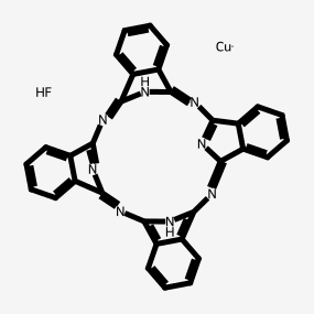 F.[Cu].c1ccc2c(c1)-c1nc-2nc2[nH]c(nc3nc(nc4[nH]c(n1)c1ccccc41)-c1ccccc1-3)c1ccccc21